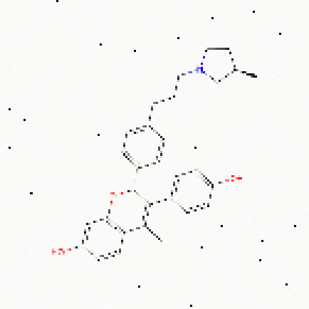 CC1=C(c2ccc(O)cc2)[C@@H](c2ccc(CCCN3CC[C@@H](C)C3)cc2)Oc2cc(O)ccc21